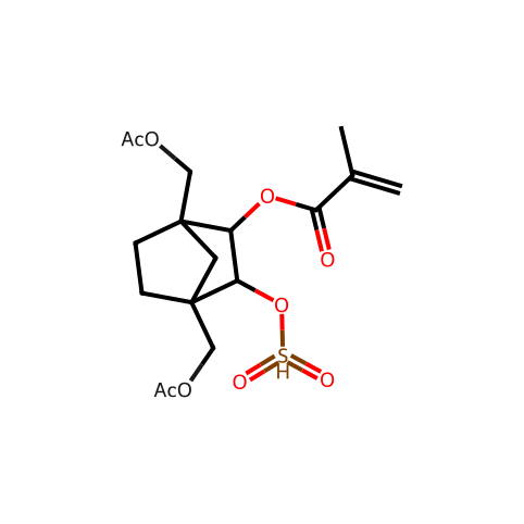 C=C(C)C(=O)OC1C(O[SH](=O)=O)C2(COC(C)=O)CCC1(COC(C)=O)C2